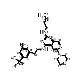 CNCCNc1nc(NCCc2cc(N)cc(C(F)(F)F)c2)c2cc(N3CCOCC3)ncc2n1